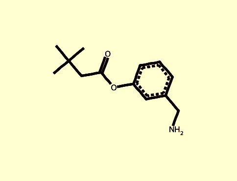 CC(C)(C)CC(=O)Oc1cccc(CN)c1